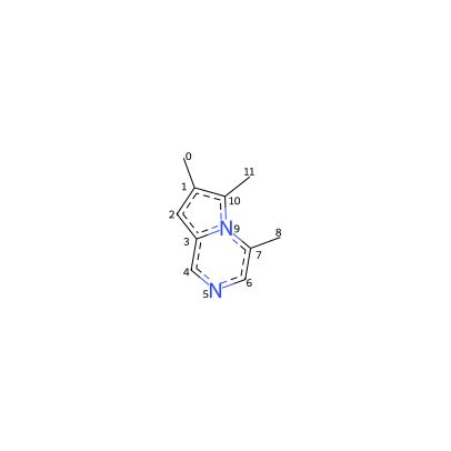 Cc1cc2cncc(C)n2c1C